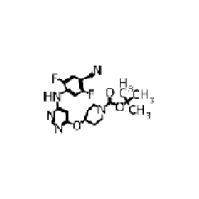 CC(C)(C)OC(=O)N1CCC(Oc2cc(Nc3cc(F)c(C#N)cc3F)ncn2)CC1